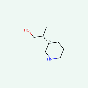 CC(CO)[C@@H]1CCCNC1